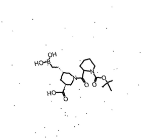 CC(C)(C)OC(=O)N1CCCCC1C(=O)N1C[C@@H](CCB(O)O)C[C@H](C(=O)O)C1